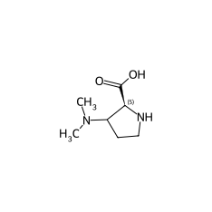 CN(C)C1CCN[C@@H]1C(=O)O